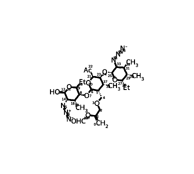 C=C(COC[C@@H]1C(O[C@@H]2C(CC)OC(O)[C@@H](N=[N+]=[N-])[C@H]2C)O[C@@H](C(C)=O)[C@@H](O[C@H]2O[C@@H](CC)[C@@H](C)[C@H](C)C2N=[N+]=[N-])[C@@H]1C)OC=O